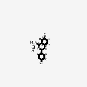 Cl.NC1=NC(c2ccc(F)cc2)Cc2ccc(F)cc21